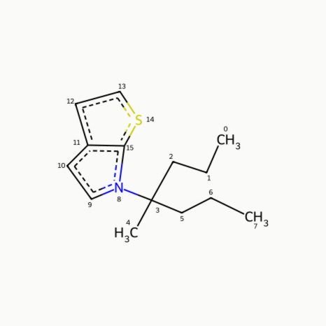 CCCC(C)(CCC)n1ccc2ccsc21